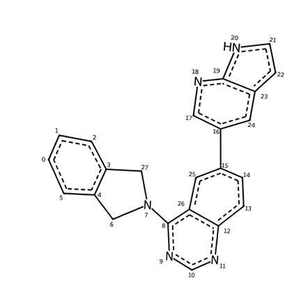 c1ccc2c(c1)CN(c1ncnc3ccc(-c4cnc5[nH]ccc5c4)cc13)C2